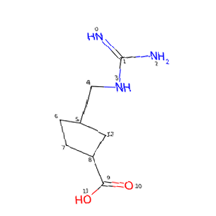 N=C(N)NCC1CCC(C(=O)O)C1